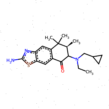 CCN(CC1CC1)C1C(=O)c2cc3sc(N)nc3cc2C(C)(C)[C@H]1C